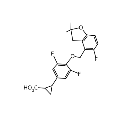 CC1(C)Cc2c(ccc(F)c2COc2c(F)cc(C3CC3C(=O)O)cc2F)O1